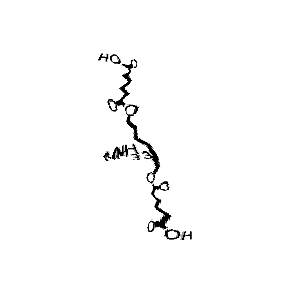 N.N.O=C(O)CCCCC(=O)OCCCCCCOC(=O)CCCCC(=O)O